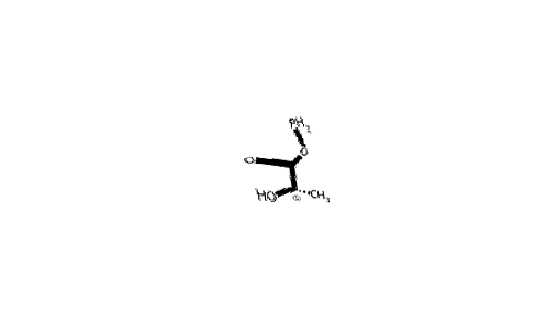 C[C@H](O)C(=O)OP